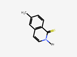 Cc1ccc2c(=S)n(C(C)C)ccc2c1